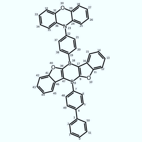 c1ccc(-c2ccc(B3c4oc5ccccc5c4B(c4ccc(N5c6ccccc6Oc6ccccc65)cc4)c4oc5ccccc5c43)cc2)cc1